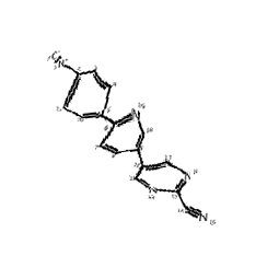 [C-]#[N+]c1ccc(-c2ccc(-c3cnc(C#N)nc3)cn2)cc1